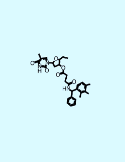 CCC1OC(n2cc(C)c(=O)[nH]c2=O)CC1OC(=O)CCC(=O)NC(c1ccccc1)c1ccc(C)c(C)c1C